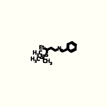 CCC(CCN=Cc1ccccc1)S[Si](C)(C)C